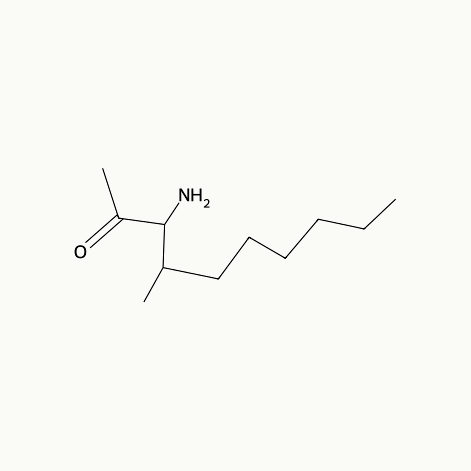 CCCCCCC(C)C(N)C(C)=O